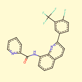 O=C(Nc1cccc2ccc(-c3ccc(F)c(C(F)(F)F)c3)nc12)c1ccccn1